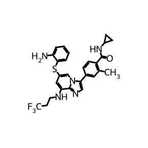 Cc1cc(-c2cnc3c(NCCC(F)(F)F)cc(Sc4ccccc4N)cn23)ccc1C(=O)NC1CC1